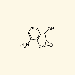 Nc1ccccc1O.OCC1CO1